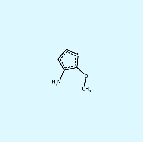 COc1sccc1N